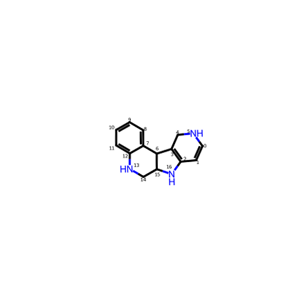 C1=CC2=C(CN1)C1c3ccccc3NCC1N2